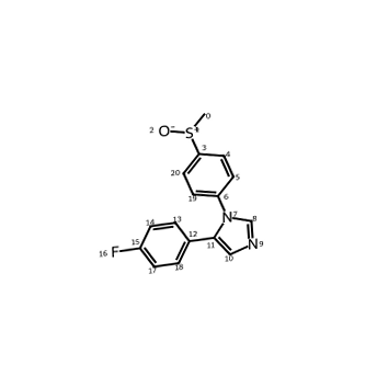 C[S+]([O-])c1ccc(-n2cncc2-c2ccc(F)cc2)cc1